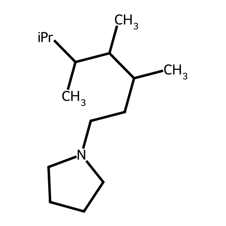 CC(C)C(C)C(C)C(C)CCN1CCCC1